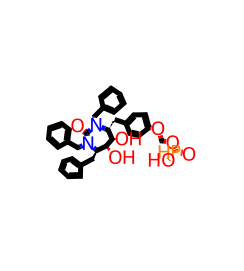 O=C1N(Cc2ccccc2)[C@H](Cc2ccccc2)[C@H](O)[C@@H](O)[C@@H](Cc2ccc(OCO[PH](=O)O)cc2)N1Cc1ccccc1